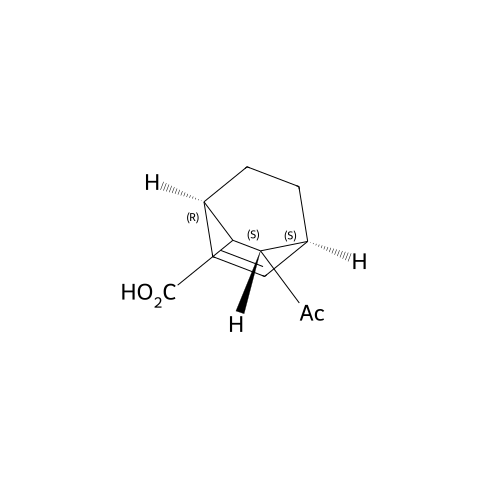 CC(=O)[C@@H]1C(C(=O)O)[C@H]2C=C[C@@H]1CC2